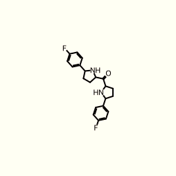 O=C(C1CCC(c2ccc(F)cc2)N1)C1CCC(c2ccc(F)cc2)N1